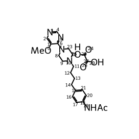 COc1cncnc1N1CCN(CCCCc2ccc(NC(C)=O)cc2)CC1.O=C(O)C(=O)O